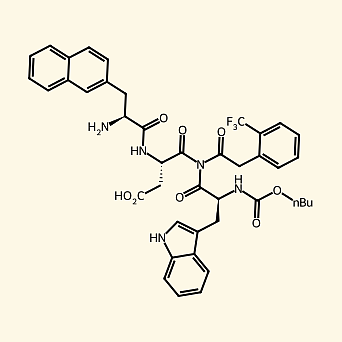 CCCCOC(=O)N[C@@H](Cc1c[nH]c2ccccc12)C(=O)N(C(=O)Cc1ccccc1C(F)(F)F)C(=O)[C@H](CC(=O)O)NC(=O)[C@@H](N)Cc1ccc2ccccc2c1